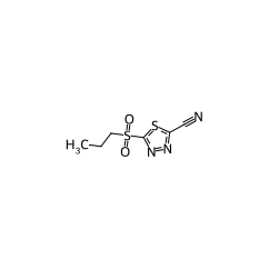 CCCS(=O)(=O)c1nnc(C#N)s1